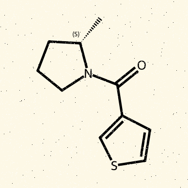 C[C@H]1CCCN1C(=O)c1ccsc1